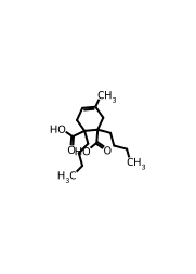 CCCCC1(C(=O)O)CC=C(C)CC1(CCCC)C(=O)O